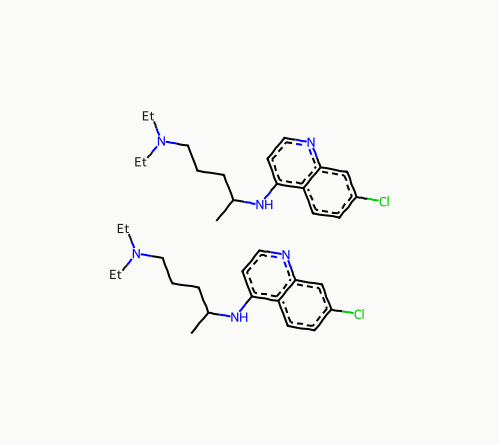 CCN(CC)CCCC(C)Nc1ccnc2cc(Cl)ccc12.CCN(CC)CCCC(C)Nc1ccnc2cc(Cl)ccc12